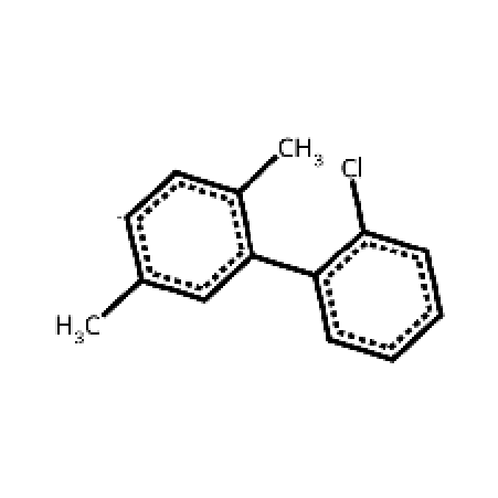 Cc1[c]cc(C)c(-c2ccccc2Cl)c1